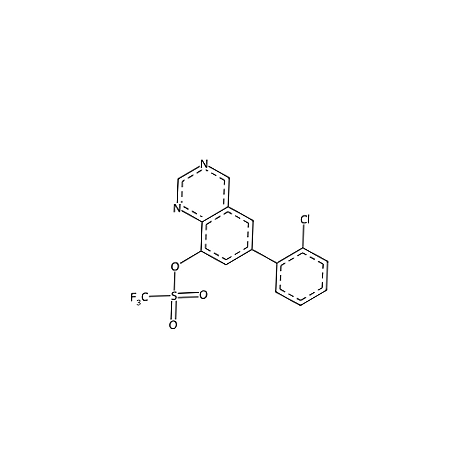 O=S(=O)(Oc1cc(-c2ccccc2Cl)cc2cncnc12)C(F)(F)F